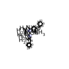 Cc1nc(/C(N)=C(\C(O)/C(N)=C/N(N)Cc2ccccc2)N(C)N)ccc1OC1CCCCC1